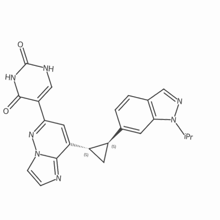 CC(C)n1ncc2ccc([C@H]3C[C@@H]3c3cc(-c4c[nH]c(=O)[nH]c4=O)nn4ccnc34)cc21